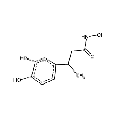 CC(CC(=O)NO)c1ccc(O)c(O)c1